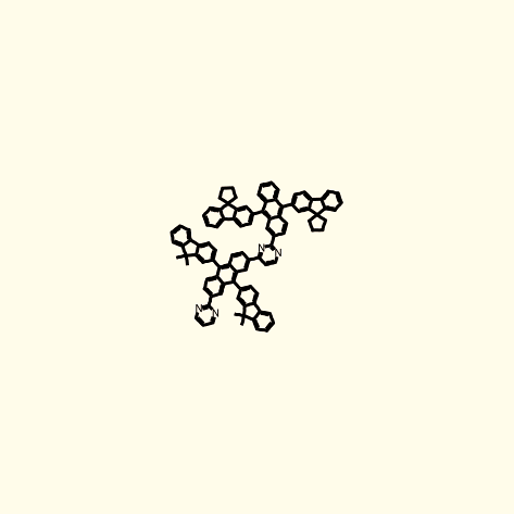 CC1(C)c2ccccc2-c2ccc(-c3c4ccc(-c5ccnc(-c6ccc7c(-c8ccc9c(c8)C8(CCCC8)c8ccccc8-9)c8ccccc8c(-c8ccc9c(c8)C8(CCCC8)c8ccccc8-9)c7c6)n5)cc4c(-c4ccc5c(c4)C(C)(C)c4ccccc4-5)c4cc(-c5ncccn5)ccc34)cc21